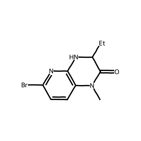 CCC1Nc2nc(Br)ccc2N(C)C1=O